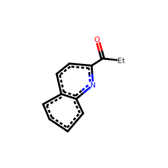 CCC(=O)c1ccc2ccccc2n1